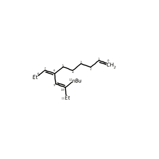 C=CCCCCC(=CCC)C=C(CC)CCCC